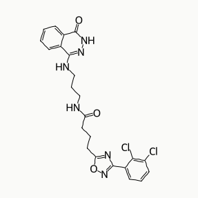 O=C(CCCc1nc(-c2cccc(Cl)c2Cl)no1)NCCCNc1n[nH]c(=O)c2ccccc12